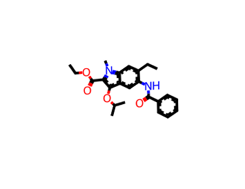 CCOC(=O)c1c(OC(C)C)c2cc(NC(=O)c3ccccc3)c(CC)cc2n1C